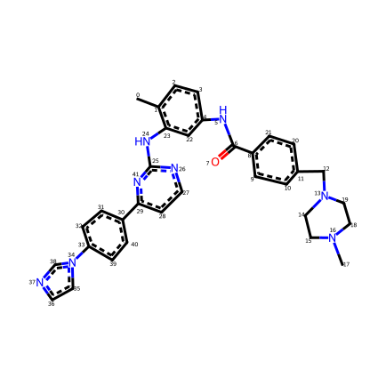 Cc1ccc(NC(=O)c2ccc(CN3CCN(C)CC3)cc2)cc1Nc1nccc(-c2ccc(-n3ccnc3)cc2)n1